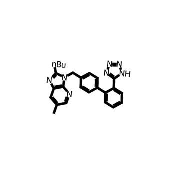 CCCCc1nc2cc(C)cnc2n1Cc1ccc(-c2ccccc2-c2nnn[nH]2)cc1